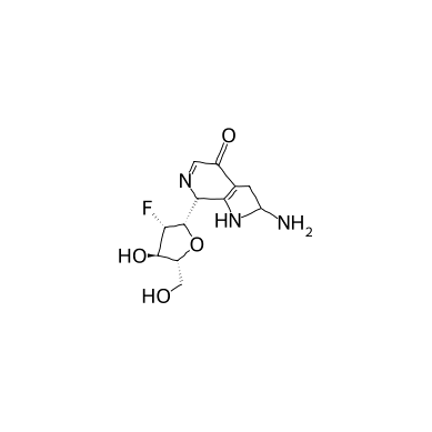 NC1CC2=C(N1)C([C@@H]1O[C@H](CO)[C@@H](O)[C@@H]1F)N=CC2=O